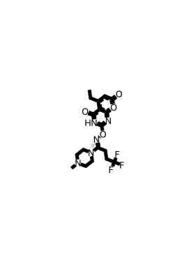 CCc1cc(=O)oc2nc(O/N=C(\CCC(F)(F)F)N3CCN(C)CC3)[nH]c(=O)c12